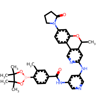 [CH2]c1cc(C(=O)Nc2cncc(Nc3cc4c(cn3)-c3ccc(N5CCCC5=O)cc3OC4C)c2)ccc1B1OC(C)(C)C(C)(C)O1